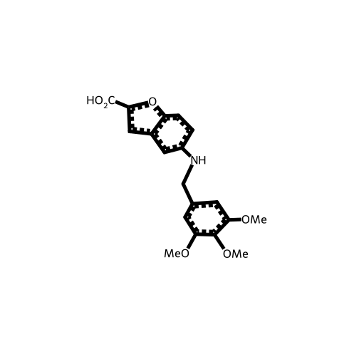 COc1cc(CNc2ccc3oc(C(=O)O)cc3c2)cc(OC)c1OC